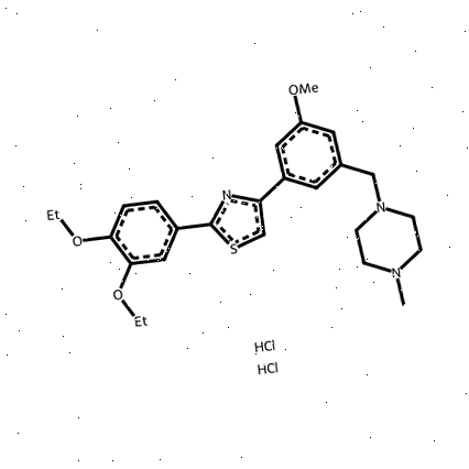 CCOc1ccc(-c2nc(-c3cc(CN4CCN(C)CC4)cc(OC)c3)cs2)cc1OCC.Cl.Cl